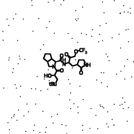 CC(C)(C)CC(O)C(=O)N1CC2CCCC2[C@H]1C(=O)NC(CC1CCNC1=O)C(=O)COC(F)(F)F